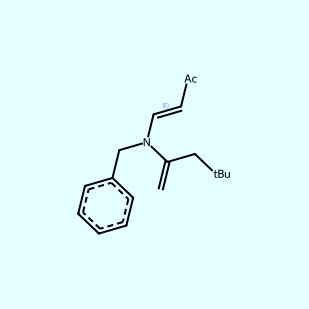 C=C(CC(C)(C)C)N(/C=C/C(C)=O)Cc1ccccc1